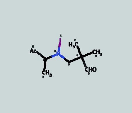 CC(=O)C(C)N(I)CC(C)(C)C=O